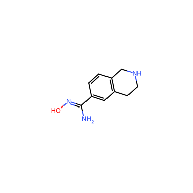 N/C(=N\O)c1ccc2c(c1)CCNC2